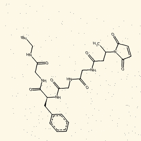 CC(CC(=O)NCC(=O)NCC(=O)N[C@@H](Cc1ccccc1)C(=O)NCC(=O)NCC(C)(C)C)N1C(=O)C=CC1=O